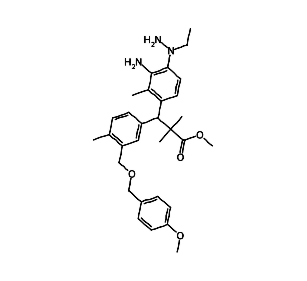 CCN(N)c1ccc(C(c2ccc(C)c(COCc3ccc(OC)cc3)c2)C(C)(C)C(=O)OC)c(C)c1N